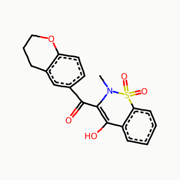 CN1C(C(=O)c2ccc3c(c2)CCCO3)=C(O)c2ccccc2S1(=O)=O